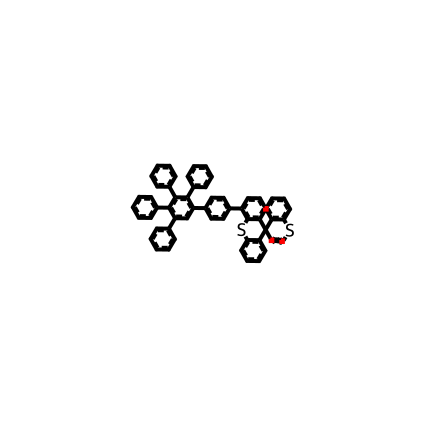 c1ccc(-c2cc(-c3ccc(-c4cccc5c4Sc4ccccc4C54c5ccccc5Sc5ccccc54)cc3)c(-c3ccccc3)c(-c3ccccc3)c2-c2ccccc2)cc1